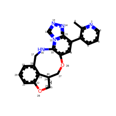 Cc1ncccc1-c1cc2c(n3cnnc13)NCc1cccc3c1[C@H](CO3)CO2